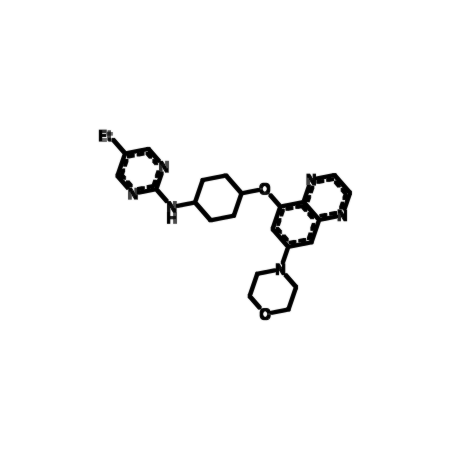 CCc1cnc(NC2CCC(Oc3cc(N4CCOCC4)cc4nccnc34)CC2)nc1